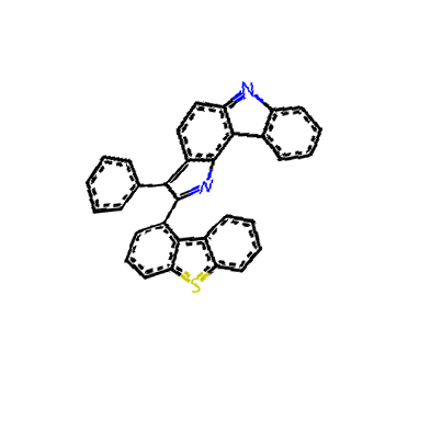 c1ccc(C2=c3ccc4c(c3N=C2c2cccc3sc5ccccc5c23)-c2ccccc2N=4)cc1